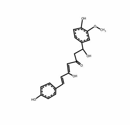 COc1cc(C(O)CC(=O)C=C(O)C=Cc2ccc(O)cc2)ccc1O